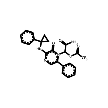 NC(=O)C(OC(=O)C(F)(F)F)n1c(-c2ccccc2)cnc(NC2(c3ccccc3)CC2)c1=O